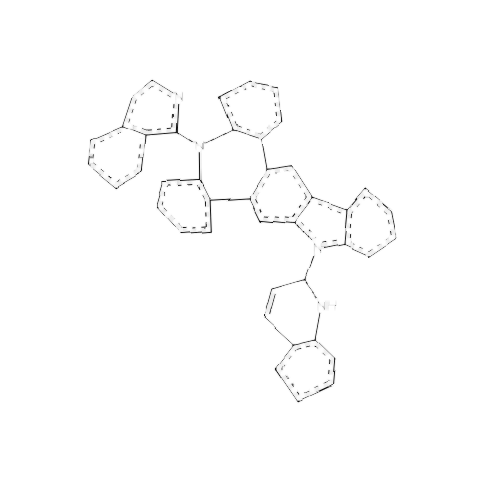 C1=CC(n2c3ccccc3c3cc4c(cc32)-c2ccccc2N(c2nccc3ccccc23)c2ccccc2-4)Nc2ccccc21